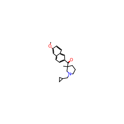 COc1ccc2cc(C(=O)C3(C)CCCN(CC4CC4)C3)ccc2c1